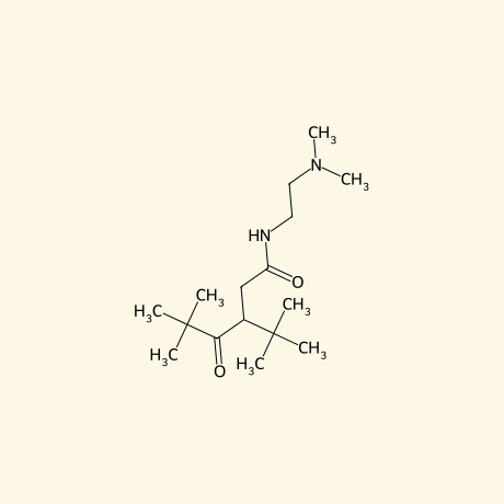 CN(C)CCNC(=O)CC(C(=O)C(C)(C)C)C(C)(C)C